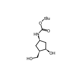 CC(C)(C)OC(=O)N[C@@H]1C[C@H](CO)[C@H](O)C1